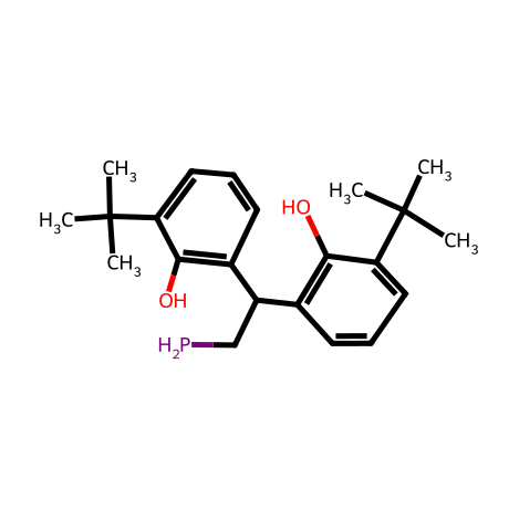 CC(C)(C)c1cccc(C(CP)c2cccc(C(C)(C)C)c2O)c1O